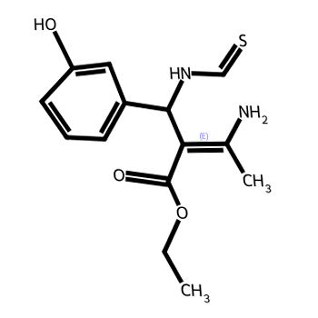 CCOC(=O)/C(=C(\C)N)C(NC=S)c1cccc(O)c1